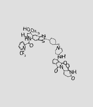 CC(C)(O)c1cc2nc(C3CCC(CN4CCC(Nc5cccc6c5C(=O)N(C5CCC(=O)NC5=O)C6=O)CC4)CC3)sc2cc1NC(=O)c1cccc(C(F)(F)F)n1